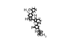 Cc1ccncc1-c1ccc2[nH]nc(-c3cc4c(-c5cc(F)cc(CNS(C)(=O)=O)c5)nccc4[nH]3)c2c1